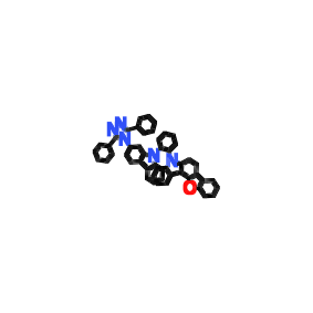 c1ccc(-c2nnc(-c3ccccc3)n2-c2ccc3c4ccccc4n(-c4ccccc4-n4c5ccccc5c5c6oc7ccccc7c6ccc54)c3c2)cc1